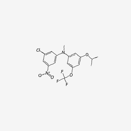 CC(C)Oc1cc(OC(F)(F)F)cc(N(C)c2cc(Cl)cc([N+](=O)[O-])c2)c1